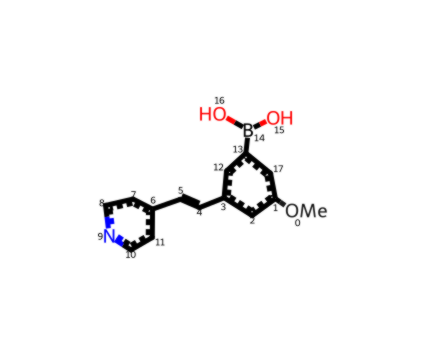 COc1cc(/C=C/c2ccncc2)cc(B(O)O)c1